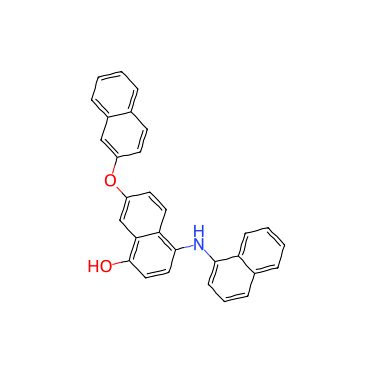 Oc1ccc(Nc2cccc3ccccc23)c2ccc(Oc3ccc4ccccc4c3)cc12